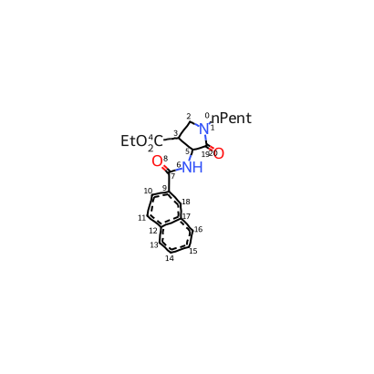 CCCCCN1CC(C(=O)OCC)C(NC(=O)c2ccc3ccccc3c2)C1=O